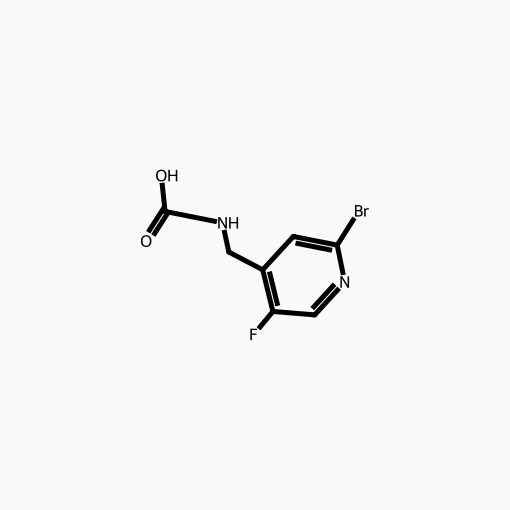 O=C(O)NCc1cc(Br)ncc1F